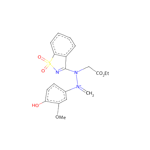 C=[N+](c1ccc(O)c(OC)c1)N(CC(=O)OCC)C1=NS(=O)(=O)c2ccccc21